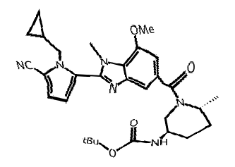 COc1cc(C(=O)N2C[C@H](NC(=O)OC(C)(C)C)CC[C@H]2C)cc2nc(-c3ccc(C#N)n3CC3CC3)n(C)c12